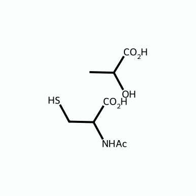 CC(=O)NC(CS)C(=O)O.CC(O)C(=O)O